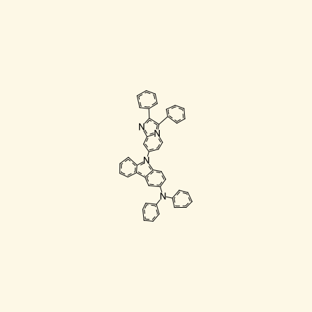 c1ccc(-c2nc3cc(-n4c5ccccc5c5cc(N(c6ccccc6)c6ccccc6)ccc54)ccn3c2-c2ccccc2)cc1